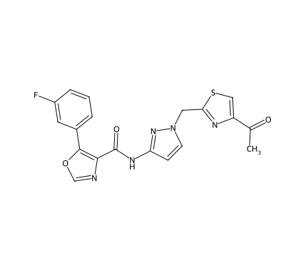 CC(=O)c1csc(Cn2ccc(NC(=O)c3ncoc3-c3cccc(F)c3)n2)n1